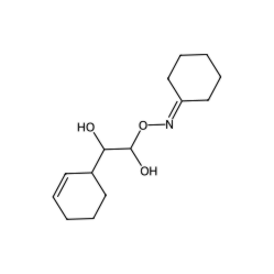 OC(ON=C1CCCCC1)C(O)C1C=CCCC1